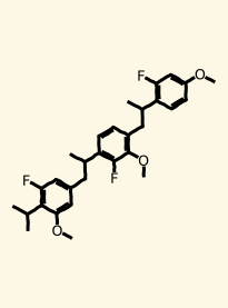 COc1ccc(C(C)Cc2ccc(C(C)Cc3cc(F)c(C(C)C)c(OC)c3)c(F)c2OC)c(F)c1